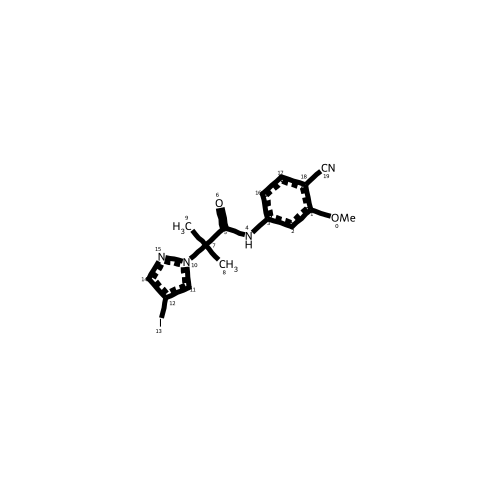 COc1cc(NC(=O)C(C)(C)n2cc(I)cn2)ccc1C#N